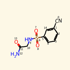 N#Cc1cccc(S(=O)(=O)NCC(N)=O)c1